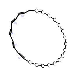 [C]1=C/C=C/C=C/C=C/C=C\CCCCCCCCCCCCCCCCC/1